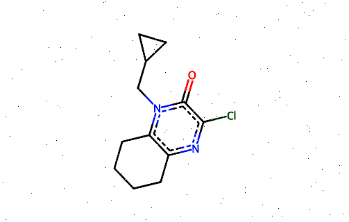 O=c1c(Cl)nc2c(n1CC1CC1)CCCC2